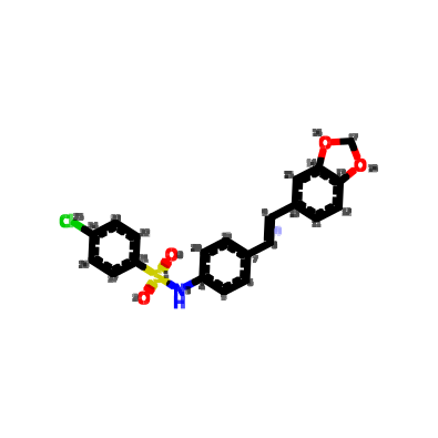 O=S(=O)(Nc1ccc(/C=C/c2ccc3c(c2)OCO3)cc1)c1ccc(Cl)cc1